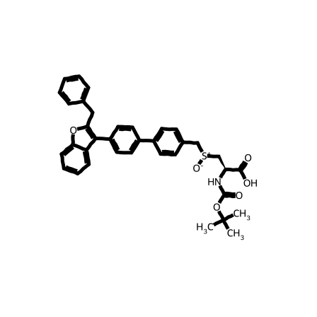 CC(C)(C)OC(=O)N[C@@H](C[S+]([O-])Cc1ccc(-c2ccc(-c3c(Cc4ccccc4)oc4ccccc34)cc2)cc1)C(=O)O